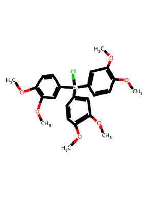 COc1ccc([Si](Cl)(c2ccc(OC)c(OC)c2)c2ccc(OC)c(OC)c2)cc1OC